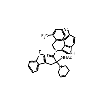 CC(=O)NC(Cc1c[nH]c2ccccc12)(C(=O)N(Cc1ccccc1C(F)(F)F)c1c[nH]c2ccc(C#N)cc12)N1CC=CCC1